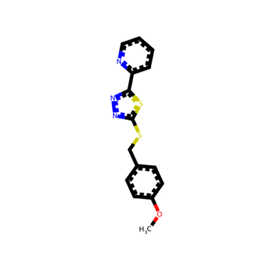 COc1ccc(CSc2nnc(-c3ccccn3)s2)cc1